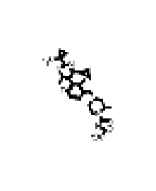 Cc1nc(C2(C(F)(F)F)CC2)nc(C2CC2)c1-c1c(F)ccc(CN2CCN(c3noc(C(C)(C)C)n3)[C@H](C)C2)c1C